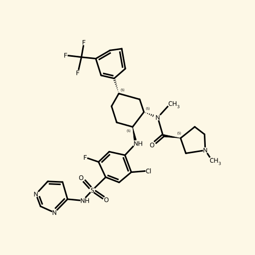 CN1CC[C@H](C(=O)N(C)[C@H]2C[C@@H](c3cccc(C(F)(F)F)c3)CC[C@@H]2Nc2cc(F)c(S(=O)(=O)Nc3ccncn3)cc2Cl)C1